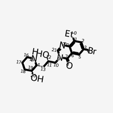 CCc1cc(Br)cc2c(=O)n(C[C@@H](O)C[C@H]3NCCC[C@@H]3O)cnc12